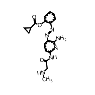 CNCC(=O)Nc1ccc(/N=N/c2ccccc2OC(=O)C2CC2)c(N)n1